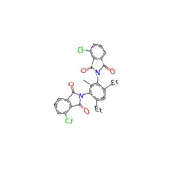 CCc1cc(CC)c(N2C(=O)c3cccc(Cl)c3C2=O)c(C)c1N1C(=O)c2cccc(Cl)c2C1=O